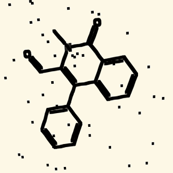 Cn1c(C=O)c(-c2ccccc2)c2ccccc2c1=O